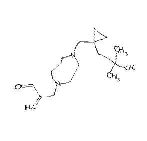 C=C(C=O)CN1CCN(CC2(CC(C)(C)C)CC2)CC1